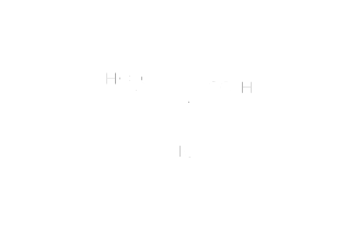 CC(CO)(CC(=O)O)C(=O)O